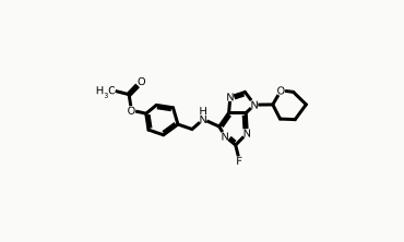 CC(=O)Oc1ccc(CNc2nc(F)nc3c2ncn3C2CCCCO2)cc1